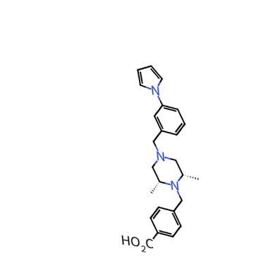 C[C@@H]1CN(Cc2cccc(-n3cccc3)c2)C[C@H](C)N1Cc1ccc(C(=O)O)cc1